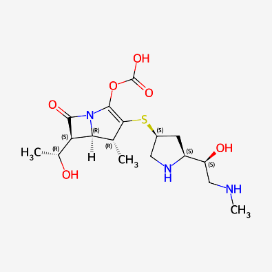 CNC[C@H](O)[C@@H]1C[C@H](SC2=C(OC(=O)O)N3C(=O)[C@H]([C@@H](C)O)[C@@H]3[C@H]2C)CN1